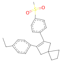 CCc1ccc(C2=C(c3ccc(S(C)(=O)=O)cc3)CC3(CCC3)C2)cc1